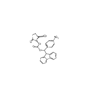 O=C(OC(c1ccc([N+](=O)[O-])cc1)C1c2ccccc2-c2ccccc21)ON1C(=O)CCC1=O